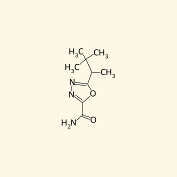 CC(c1nnc(C(N)=O)o1)C(C)(C)C